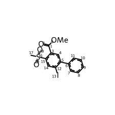 COC(=O)c1cc(-c2ccccc2)c(I)cc1S(C)(=O)=O